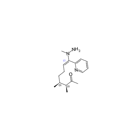 CC(=O)[C@@H](C)[C@@H](C)CC/C=C(\c1ccccn1)N(C)N